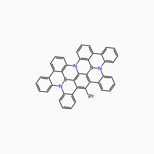 CC(C)c1c2c3c4c5c1-c1ccccc1N1B5c5c(cccc5N4c4cccc5c4B3N(c3ccccc3-5)c3ccccc3-2)-c2ccccc21